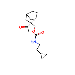 CC(=O)C1(COC(=O)NCCC2CC2)CC2CCC1C2